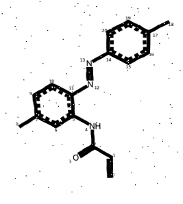 C=CC(=O)Nc1cc(C)ccc1N=Nc1ccc(C)cc1